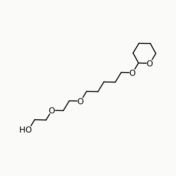 OCCOCCOCCCCCOC1CCCCO1